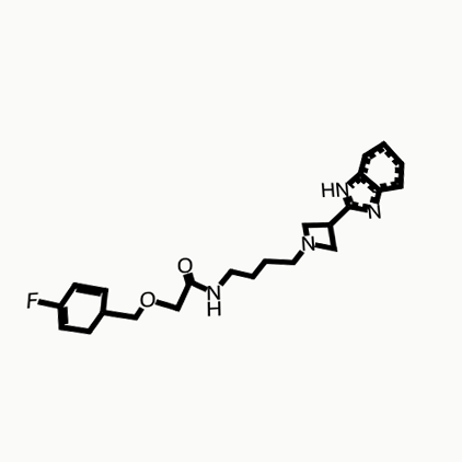 O=C(COCC1C=CC(F)=CC1)NCCCCN1CC(c2nc3ccccc3[nH]2)C1